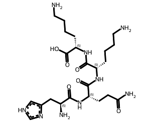 NCCCC[C@H](NC(=O)[C@H](CCCCN)NC(=O)[C@H](CCC(N)=O)NC(=O)[C@@H](N)Cc1c[nH]cn1)C(=O)O